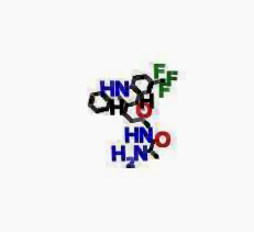 C[C@@H](N)C(=O)NC[C@H]1CC[C@@H]2[C@H](O1)c1cc(C(F)(F)F)ccc1N[C@H]2c1ccccc1